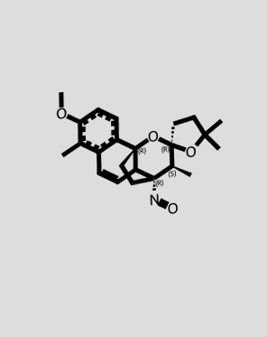 COc1ccc2c(c1C)C=CC1[C@]23CC[C@]1(N=O)[C@H](C)[C@@]1(CCC(C)(C)O1)O3